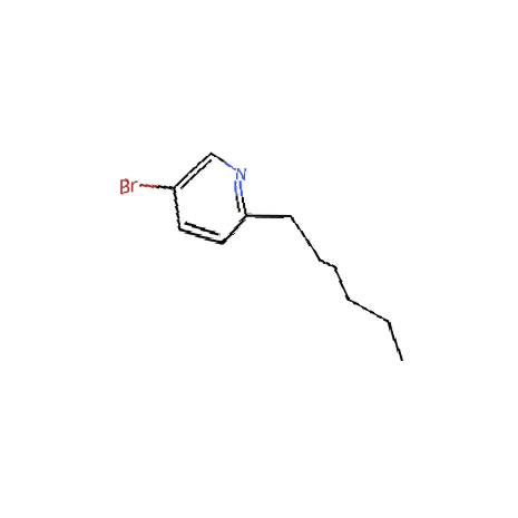 CCCCCCc1ccc(Br)cn1